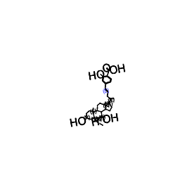 CC[C@H]1[C@@H](O)C2C3CC[C@H]([C@H](C)C/C=C/c4ccc(C(=O)O)c(O)c4)[C@@]3(C)CCC2[C@@]2(C)CC[C@@H](O)C[C@@H]12